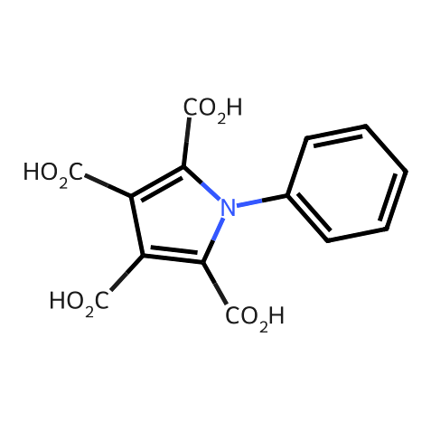 O=C(O)c1c(C(=O)O)c(C(=O)O)n(-c2ccccc2)c1C(=O)O